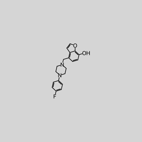 Oc1ccc(CN2CCN(c3ccc(F)cc3)CC2)c2ccoc12